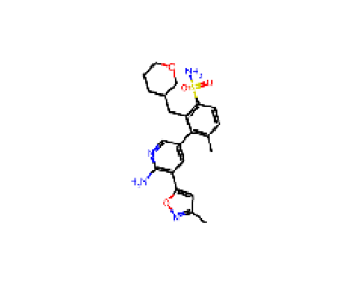 Cc1cc(-c2cc(-c3c(C)ccc(S(N)(=O)=O)c3CC3CCCOC3)cnc2N)on1